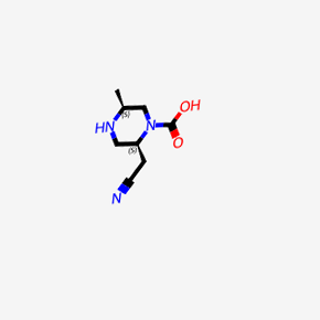 C[C@H]1CN(C(=O)O)[C@@H](CC#N)CN1